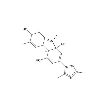 C=C(C)C1(O)C=C(c2cn(C)nc2C)C=C(O)[C@@H]1C1C=C(C)C(O)CC1